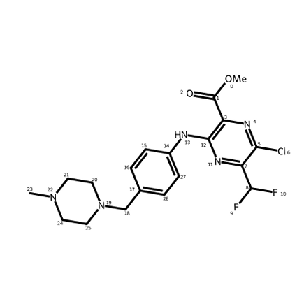 COC(=O)c1nc(Cl)c(C(F)F)nc1Nc1ccc(CN2CCN(C)CC2)cc1